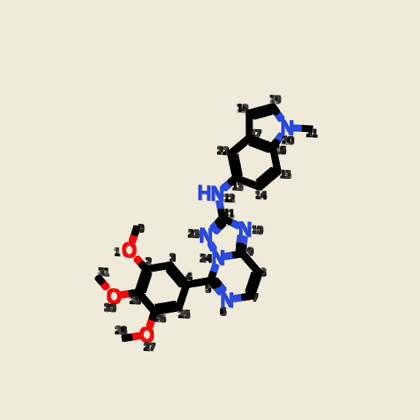 COc1cc(-c2nccc3nc(Nc4ccc5c(ccn5C)c4)nn23)cc(OC)c1OC